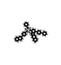 c1ccc(-c2ccc(-c3ccc(-c4nc(-c5ccccc5)nc(-c5ccc(-c6ccc7ccccc7c6)cc5)n4)c4oc5cc6ccccc6cc5c34)cc2)cc1